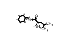 CC(C)C[C@@H](N)C(=O)NCC1CCCCC1